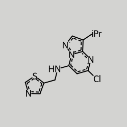 CC(C)c1cnn2c(NCc3cncs3)cc(Cl)nc12